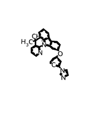 CC1(C)c2cccnc2-n2c3cc(Oc4cccc(-n5ccnc5)c4)ccc3c3cccc1c32